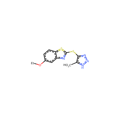 CCOc1ccc2sc(Sc3nn[nH]c3C(=O)O)nc2c1